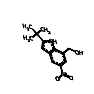 CC(C)(C)c1cc2cc([N+](=O)[O-])cc(CO)c2[nH]1